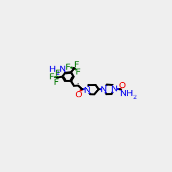 NC(=O)N1CCN(C2CCN(C(=O)[CH]Cc3cc(C(F)(F)F)c(N)c(C(F)(F)F)c3)CC2)CC1